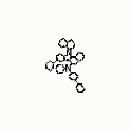 c1ccc(-c2ccc(N(c3ccccc3)c3cc4ccccc4c4c3c3cc(-c5ccccc5)ccc3n4-c3cccc4ccccc34)cc2)cc1